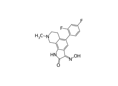 CN1CCc2c(-c3ccc(F)cc3F)cc3c(c2C1)NC(=O)/C3=N/O